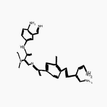 C=C(Nc1ccc(N)c(C=N)c1)/C(=C\N=C(/C)c1ccc(/C=C/C(/C=C\N)=C/N)c(C)c1)N(C)C